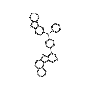 c1ccc(N(c2ccc(-c3cncc4c3oc3ccc5ccccc5c34)cc2)c2ccc3sc4ccccc4c3c2)cc1